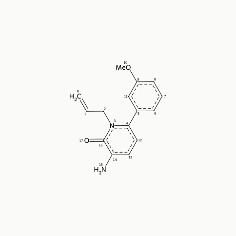 C=CCn1c(-c2cccc(OC)c2)ccc(N)c1=O